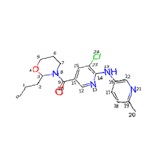 CCCC1OCCCN1C(=O)c1cnc(Nc2ccc(C)nc2)c(Cl)c1